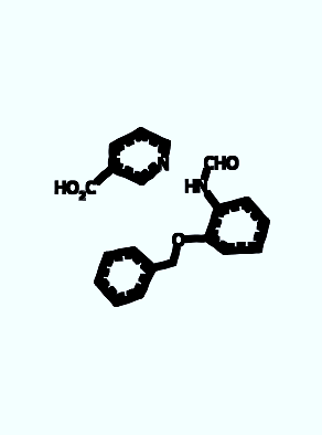 O=C(O)c1cccnc1.O=CNc1ccccc1OCc1ccccc1